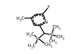 Cc1cc(F)nc(C([Si](C)(C)C)[Si](C)(C)C)c1